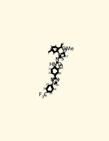 COC(C)c1ccc(C)cc1N1C(=O)CSC1=NC(=O)Nc1ccc(-c2ncn(-c3ccc(C(F)(F)F)cc3)n2)cc1Cl